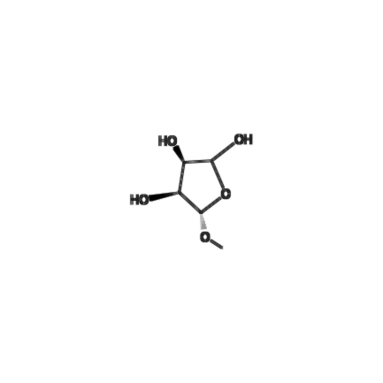 CO[C@H]1OC(O)[C@H](O)[C@@H]1O